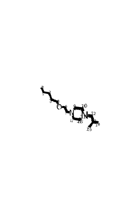 CCCCCOCCN1CCN(CC(C)C)CC1